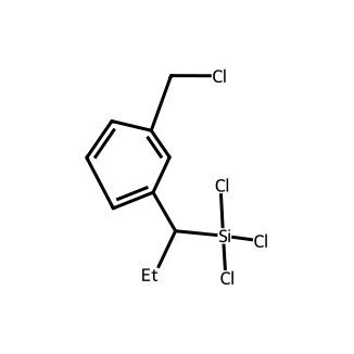 CCC(c1cccc(CCl)c1)[Si](Cl)(Cl)Cl